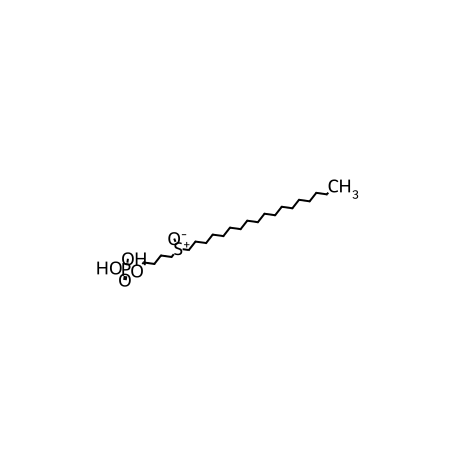 CCCCCCCCCCCCCCCCCC[S+]([O-])CCCCOP(=O)(O)O